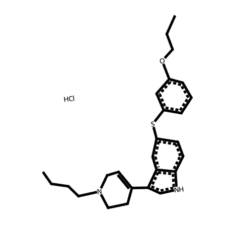 CCCCN1CC=C(c2c[nH]c3ccc(Sc4cccc(OCCC)c4)cc23)CC1.Cl